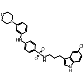 O=S(=O)(NCCCc1c[nH]c2ccc(Cl)cc12)c1ccc(Nc2cccc(N3CCOCC3)c2)cc1